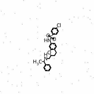 C[C@@H](NCC1CCc2ccc(NS(=O)(=O)c3ccc(Cl)cc3)cc2O1)c1ccccc1